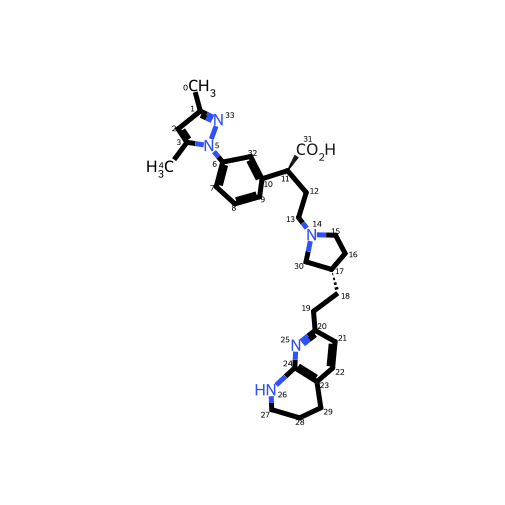 Cc1cc(C)n(-c2cccc([C@H](CCN3CC[C@H](CCc4ccc5c(n4)NCCC5)C3)C(=O)O)c2)n1